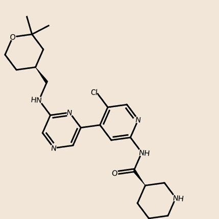 CC1(C)C[C@@H](CNc2cncc(-c3cc(NC(=O)[C@@H]4CCCNC4)ncc3Cl)n2)CCO1